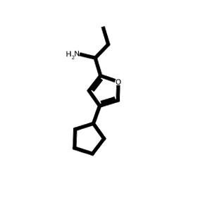 CCC(N)c1cc(C2CCCC2)co1